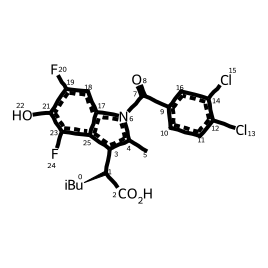 CC[C@H](C)C(C(=O)O)c1c(C)n(C(=O)c2ccc(Cl)c(Cl)c2)c2cc(F)c(O)c(F)c12